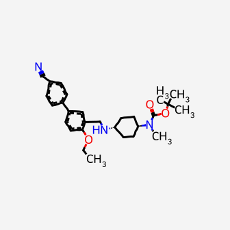 CCOc1ccc(-c2ccc(C#N)cc2)cc1CN[C@H]1CC[C@H](N(C)C(=O)OC(C)(C)C)CC1